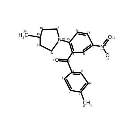 Cc1ccc(C(=O)c2cc([N+](=O)[O-])ccc2N2CCC(C)CC2)cc1